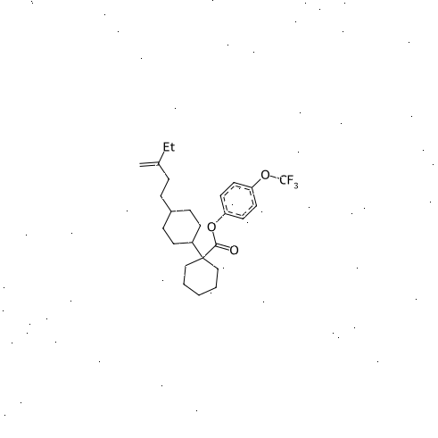 C=C(CC)CCC1CCC(C2(C(=O)Oc3ccc(OC(F)(F)F)cc3)CCCCC2)CC1